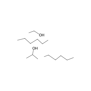 CC(C)O.CCCCCC.CCCCCC.CCO